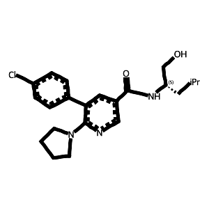 CC(C)C[C@@H](CO)NC(=O)c1cnc(N2CCCC2)c(-c2ccc(Cl)cc2)c1